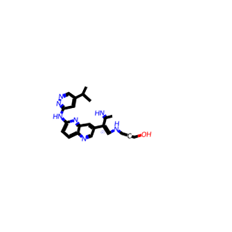 CC(=N)/C(=C\NCCCO)c1cnc2ccc(Nc3cc(C(C)C)cnn3)nc2c1